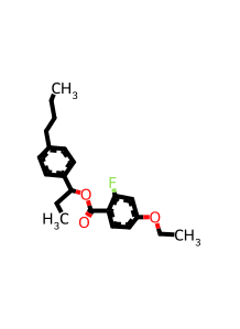 CCCCc1ccc(C(CC)OC(=O)c2ccc(OCC)cc2F)cc1